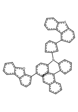 c1cc(-c2cccc3sc4ccccc4c23)cc(N(c2ccc(-c3cccc4c3oc3ccccc34)cc2)c2ccccc2-c2cccc3ccccc23)c1